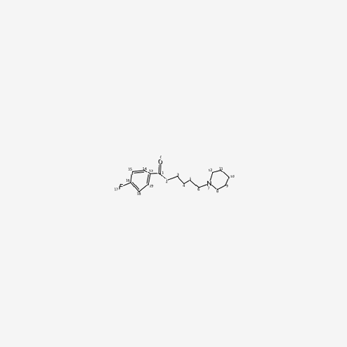 O=C(CCCCCN1CC[CH]CC1)c1ccc(F)cc1